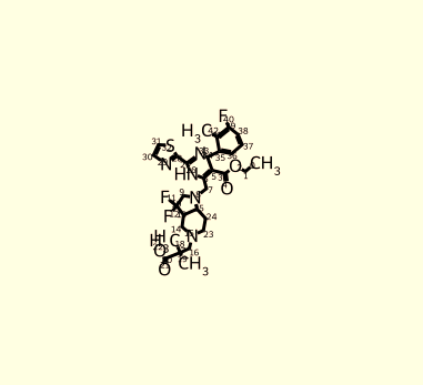 CCOC(=O)C1=C(CN2CC(F)(F)C3CN(CC(C)(C)C(=O)O)CCC32)NC(c2nccs2)=NC1c1cccc(F)c1C